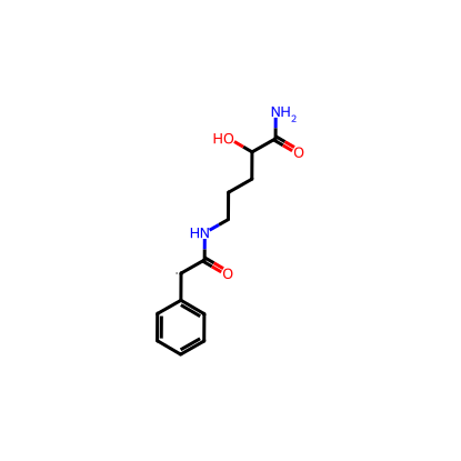 NC(=O)C(O)CCCNC(=O)[CH]c1ccccc1